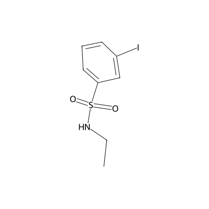 CCNS(=O)(=O)c1cccc(I)c1